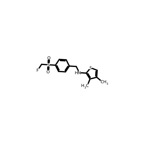 Cc1csc(NCc2ccc(S(=O)(=O)CF)cc2)c1C